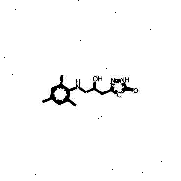 Cc1cc(C)c(NCC(O)Cc2n[nH]c(=O)o2)c(C)c1